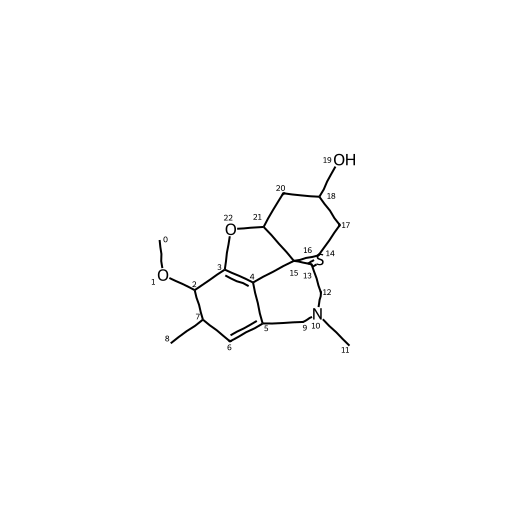 COC1C2=C3C(=CC1C)CN(C)CC(=S)C31CCC(O)CC1O2